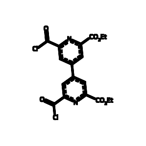 CCOC(=O)c1cc(-c2cc(C(=O)Cl)nc(C(=O)OCC)c2)cc(C(=O)Cl)n1